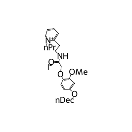 CCCCCCCCCCOc1ccc(OCC(=O)NCCc2cccc[n+]2CCC)c(OC)c1.[I-]